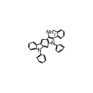 Cc1ccccc1-c1c(N)c2cc3c4ccccc4n(-c4ccccc4)c3cc2n1-c1ccccc1